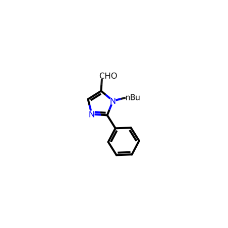 CCCCn1c(C=O)cnc1-c1ccccc1